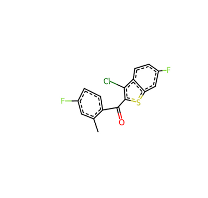 Cc1cc(F)ccc1C(=O)c1sc2cc(F)ccc2c1Cl